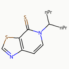 CCCC(CCC)n1ccc2ncsc2c1=S